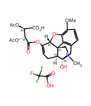 COc1ccc2c3c1O[C@H]1C(OC(=O)[C@H](OC(C)=O)[C@@H](OC(C)=O)C(=O)O)=CC[C@H]4[C@@]31CCN(C)[C@@]4(O)C2.O=C(O)C(F)(F)F